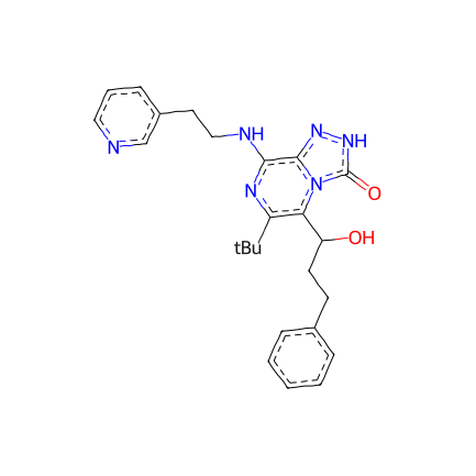 CC(C)(C)c1nc(NCCc2cccnc2)c2n[nH]c(=O)n2c1C(O)CCc1ccccc1